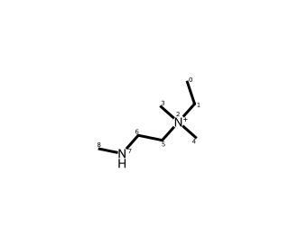 CC[N+](C)(C)CCNC